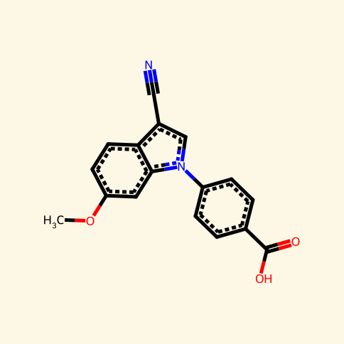 COc1ccc2c(C#N)cn(-c3ccc(C(=O)O)cc3)c2c1